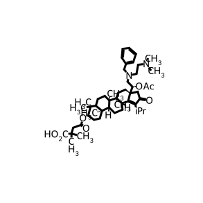 CC(=O)O[C@@H](CN(CCN(C)C)Cc1ccccc1)[C@@]12CC[C@]3(C)[C@H](CC[C@@H]4[C@@]5(C)CC[C@H](OC(=O)CC(C)(C)C(=O)O)C(C)(C)C5CC[C@]43C)C1=C(C(C)C)C(=O)C2